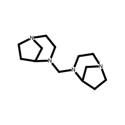 C1CN2CCN(CN3CCN4CCC3C4)C1C2